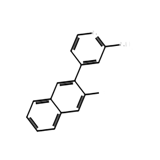 Nc1[c]c(-c2cc3ccccc3cc2O)ccn1